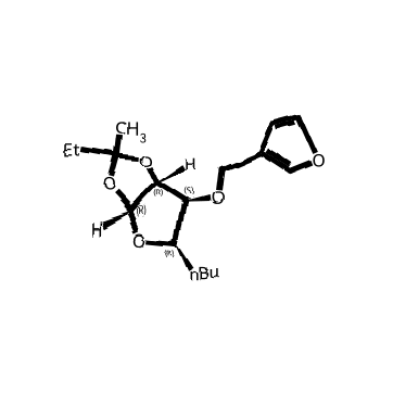 CCCC[C@H]1O[C@@H]2OC(C)(CC)O[C@@H]2[C@H]1OCc1ccoc1